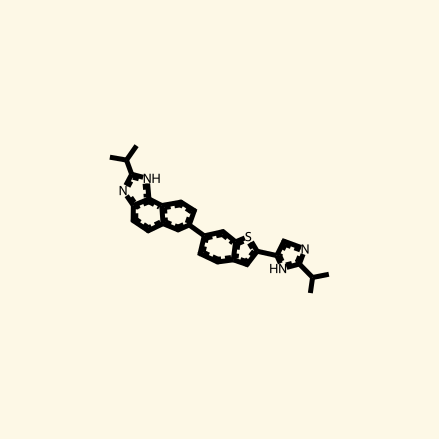 CC(C)c1ncc(-c2cc3ccc(-c4ccc5c(ccc6nc(C(C)C)[nH]c65)c4)cc3s2)[nH]1